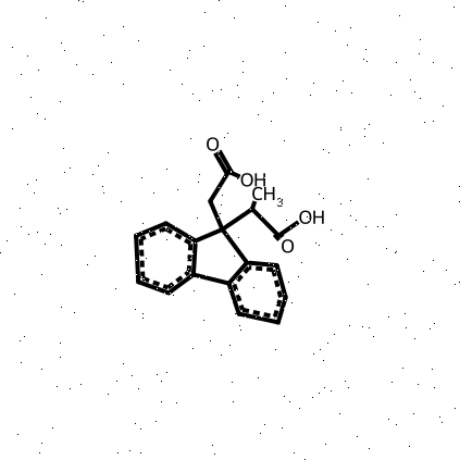 CC(C(=O)O)C1(CC(=O)O)c2ccccc2-c2ccccc21